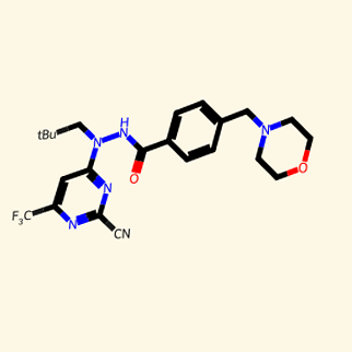 CC(C)(C)CN(NC(=O)c1ccc(CN2CCOCC2)cc1)c1cc(C(F)(F)F)nc(C#N)n1